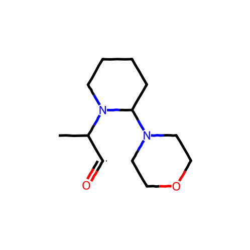 CC([C]=O)N1CCCCC1N1CCOCC1